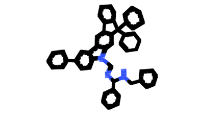 C1=CC(C2(c3ccccc3)c3ccccc3-c3cc4c5cc(-c6ccccc6)ccc5n(/C=N/C(NCc5ccccc5)c5ccccc5)c4cc32)=CCC1